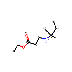 CCOC(=O)CCNC(C)(C)CC